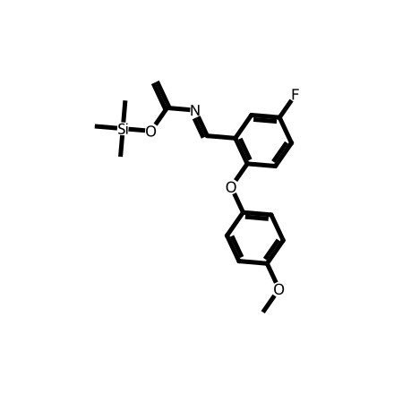 C=C(N=Cc1cc(F)ccc1Oc1ccc(OC)cc1)O[Si](C)(C)C